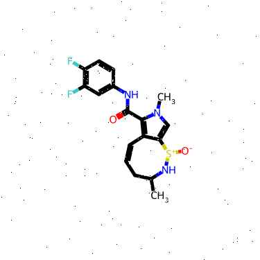 CC1C/C=C\c2c(cn(C)c2C(=O)Nc2ccc(F)c(F)c2)[S+]([O-])N1